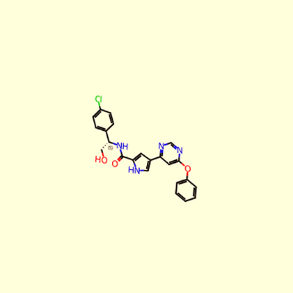 O=C(N[C@H](CO)c1ccc(Cl)cc1)c1cc(-c2cc(Oc3ccccc3)ncn2)c[nH]1